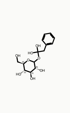 OC[C@H]1OC(OC(O)(O)Cc2ccccc2)[C@H](O)[C@@H](O)[C@@H]1O